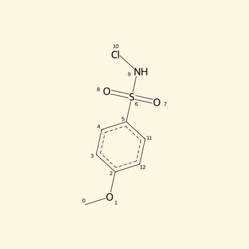 COc1ccc(S(=O)(=O)NCl)cc1